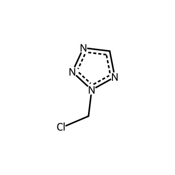 ClCn1ncnn1